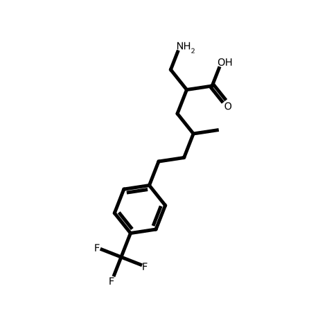 CC(CCc1ccc(C(F)(F)F)cc1)CC(CN)C(=O)O